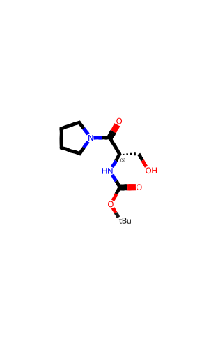 CC(C)(C)OC(=O)N[C@@H](CO)C(=O)N1CCCC1